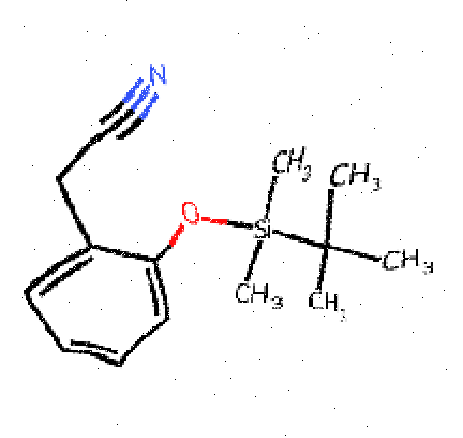 CC(C)(C)[Si](C)(C)Oc1ccccc1CC#N